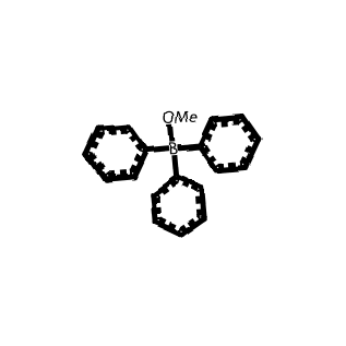 CO[B-](c1ccccc1)(c1ccccc1)c1ccccc1